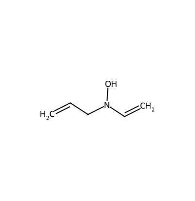 C=CCN(O)C=C